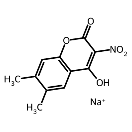 Cc1cc2oc(=O)c([N+](=O)[O-])c(O)c2cc1C.[Na+]